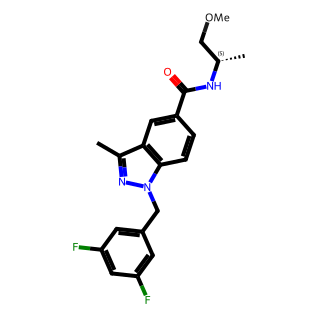 COC[C@H](C)NC(=O)c1ccc2c(c1)c(C)nn2Cc1cc(F)cc(F)c1